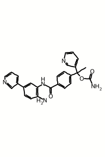 CC(OC(N)=O)(c1ccc(C(=O)Nc2cc(-c3cccnc3)ccc2N)cc1)c1cccnc1